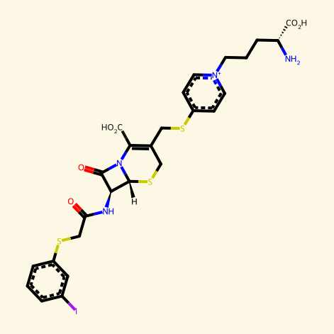 N[C@H](CCC[n+]1ccc(SCC2=C(C(=O)O)N3C(=O)[C@H](NC(=O)CSc4cccc(I)c4)[C@H]3SC2)cc1)C(=O)O